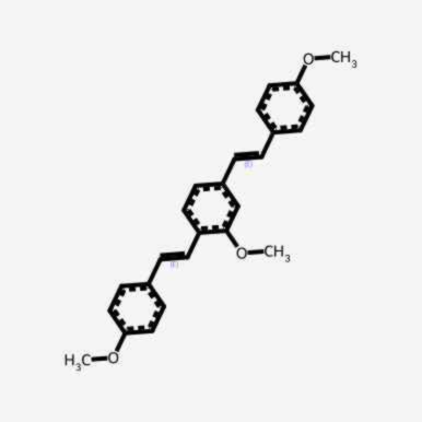 COc1ccc(/C=C/c2ccc(/C=C/c3ccc(OC)cc3)c(OC)c2)cc1